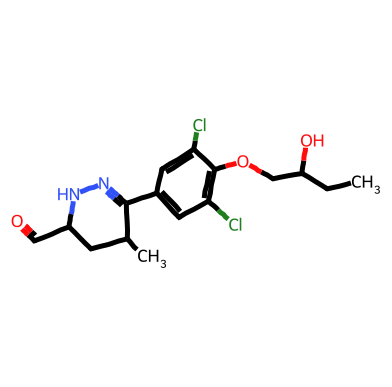 CCC(O)COc1c(Cl)cc(C2=NNC(C=O)CC2C)cc1Cl